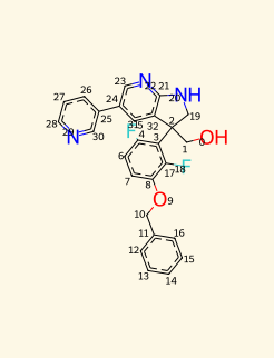 OCC1(c2c(F)ccc(OCc3ccccc3)c2F)CNc2ncc(-c3cccnc3)cc21